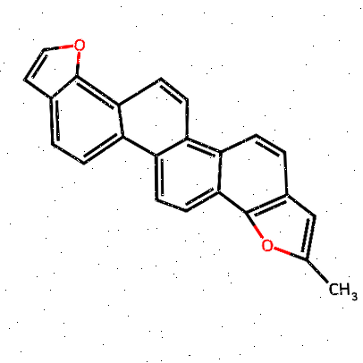 Cc1cc2ccc3c4ccc5c(ccc6ccoc65)c4ccc3c2o1